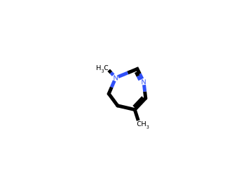 CC1=CN=CN(C)CC1